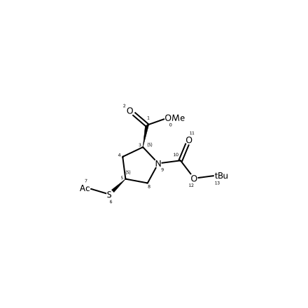 COC(=O)[C@@H]1C[C@H](SC(C)=O)CN1C(=O)OC(C)(C)C